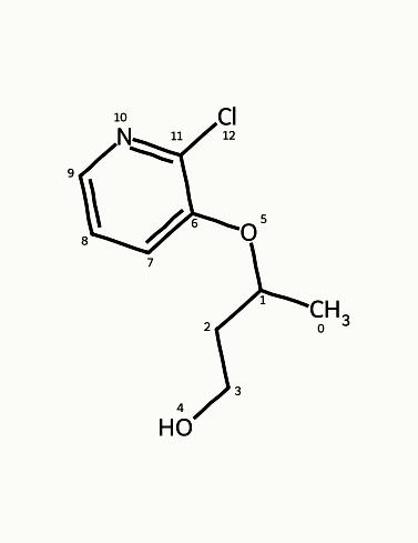 CC(CCO)Oc1cccnc1Cl